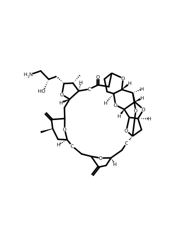 C=C1C[C@@H]2CC[C@@]34C[C@@H]5O[C@H]6[C@@H](O3)[C@H]3OC(CC[C@@H]3O[C@H]6C5O4)CC(=O)C[C@@H]3[C@@H](C)[C@@H](C[C@H](O)CN)O[C@H]3CC3O[C@@H](CCC1O2)C[C@@H](C)C3=C